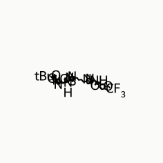 CC(C)(C)OC(=O)n1cnc(CC(=O)Nc2nnc(CCCCc3ccc(NC(=O)Cc4cccc(OC(F)(F)F)c4)nn3)s2)c1